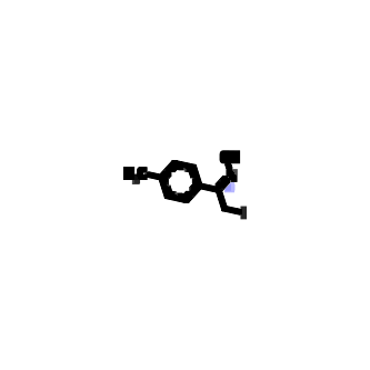 Cc1ccc(/C(CI)=N\O)cc1